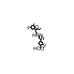 CCc1oc2c(C)cc(F)cc2c1CCNc1cc(-c2ccc(C(=O)O)c(SC)c2)ncn1